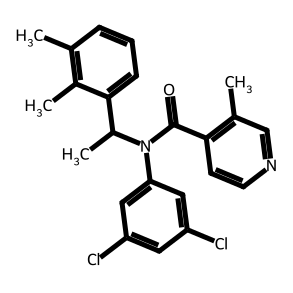 Cc1cnccc1C(=O)N(c1cc(Cl)cc(Cl)c1)C(C)c1cccc(C)c1C